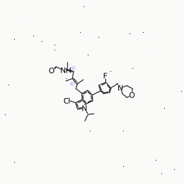 C/C(=C/C(C)=C(\C)Cc1cc(-c2ccc(CN3CCOCC3)c(F)c2)cc2c1c(Cl)cn2C(C)C)NC=O